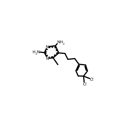 Cc1nc(N)nc(N)c1CCCC1=CCC(Cl)(Cl)C=C1